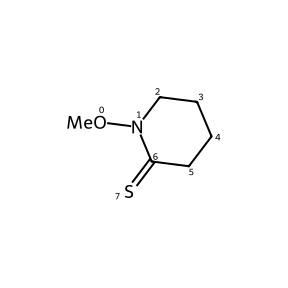 CON1CCCCC1=S